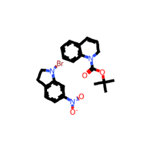 CC(C)(C)OC(=O)N1CC=Cc2ccccc21.O=[N+]([O-])c1ccc2c(c1)N(Br)CC2